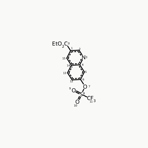 CCOC(=O)c1cnc2cc(OS(=O)(=O)C(F)(F)F)ccc2c1